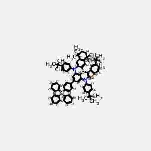 CC(C)(C)c1ccc(N2c3cc4c(cc3B3c5c2cc(-c2ccc([Si](c6ccccc6)(c6ccccc6)c6ccccc6)cc2)cc5N(c2ccc(C(C)(C)C)cc2)c2sc5ccc(C(C)(C)C)cc5c23)C(C)(C)CCC4(C)C)cc1